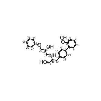 COc1ccccc1-c1ccc(C[C@@H](CO)NC[C@H](O)COc2ccccc2)cc1